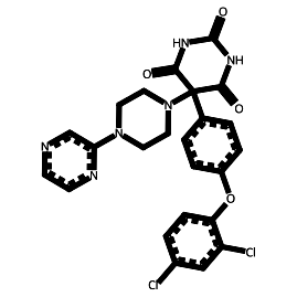 O=C1NC(=O)C(c2ccc(Oc3ccc(Cl)cc3Cl)cc2)(N2CCN(c3cnccn3)CC2)C(=O)N1